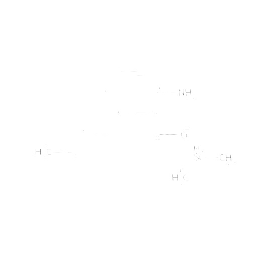 CCCCc1cccc(N)c1CO[SiH](C)C